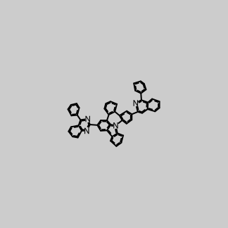 c1ccc(-c2nc(-c3ccc4c(c3)-c3ccccc3-c3cc(-c5nc(-c6ccccc6)c6ccccc6n5)cc5c6ccccc6n-4c35)cc3ccccc23)cc1